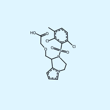 Cc1ccc(Cl)c(S(=O)(=O)N2CCn3cccc3C2COCC(=O)O)c1Cl